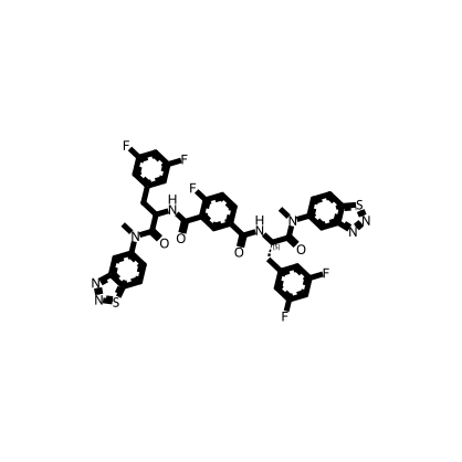 CN(C(=O)C(Cc1cc(F)cc(F)c1)NC(=O)c1cc(C(=O)N[C@@H](Cc2cc(F)cc(F)c2)C(=O)N(C)c2ccc3snnc3c2)ccc1F)c1ccc2snnc2c1